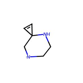 C1=CC12C[N]CCN2